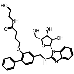 O=C(CCCOc1cc(CNc2nc3ccccc3n2[C@@H]2O[C@H](CO)[C@@H](O)[C@H]2O)ccc1-c1ccccc1)NCCO